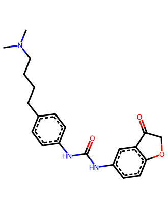 CN(C)CCCCc1ccc(NC(=O)Nc2ccc3c(c2)C(=O)CO3)cc1